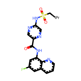 CC(C)CS(=O)(=O)Nc1cnc(C(=O)Nc2cc(F)cc3cccnc23)cn1